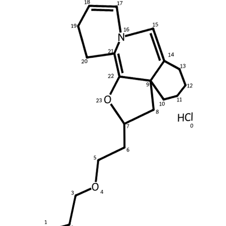 Cl.OCCOCCC1CC23CCCCC2=CN2C=CCCC2=C3O1